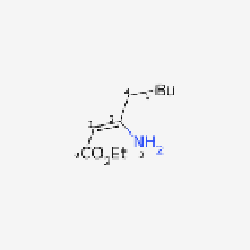 CCOC(=O)C=C(N)CC(C)CC